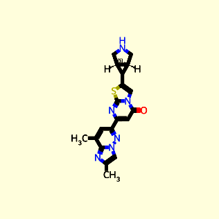 Cc1cn2nc(-c3cc(=O)n4cc(C5[C@H]6CNC[C@@H]56)sc4n3)cc(C)c2n1